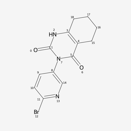 O=c1[nH]c2c(c(=O)n1-c1ccc(Br)nc1)CCCC2